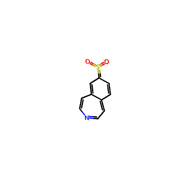 O=S(=O)=c1ccc2ccnccc-2c1